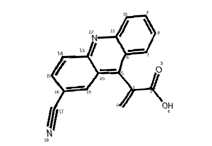 C=C(C(=O)O)c1c2ccccc2nc2ccc(C#N)cc12